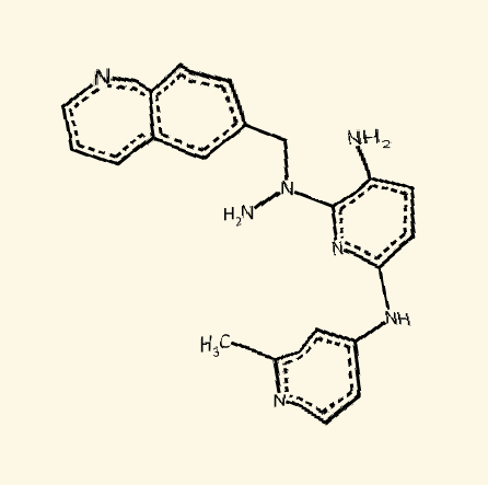 Cc1cc(Nc2ccc(N)c(N(N)Cc3ccc4ncccc4c3)n2)ccn1